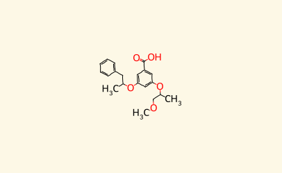 COCC(C)Oc1cc(OC(C)Cc2ccccc2)cc(C(=O)O)c1